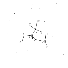 CC[SiH](CN(C)C)C(C)(C)C